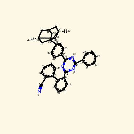 N#Cc1ccccc1-c1ccccc1-c1nc(-c2ccccc2)nc(-c2ccc(C34CC5C[C@H](C3)C[C@@H](C5)C4)cc2)n1